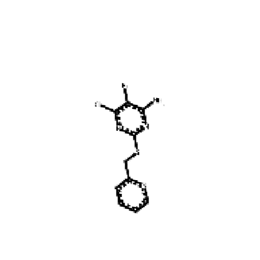 Nc1nc(SCc2ccccn2)nc(Cl)c1Br